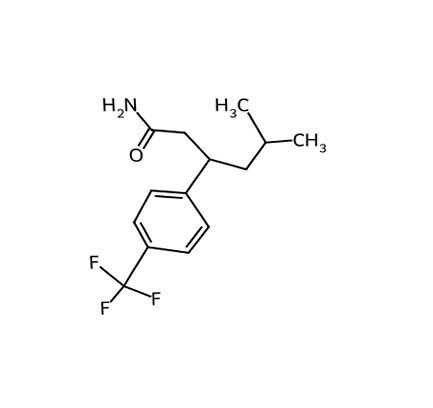 CC(C)CC(CC(N)=O)c1ccc(C(F)(F)F)cc1